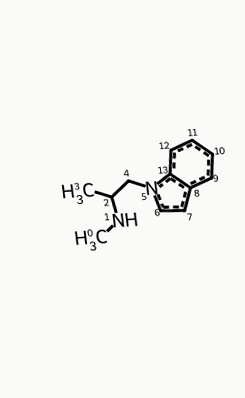 CNC(C)Cn1ccc2ccccc21